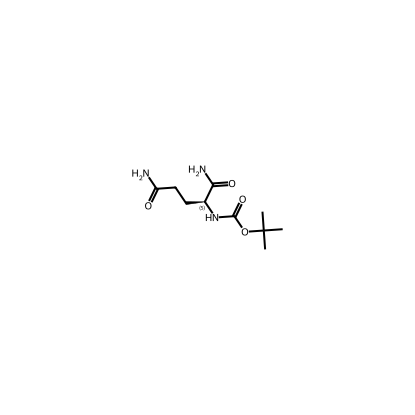 CC(C)(C)OC(=O)N[C@@H](CCC(N)=O)C(N)=O